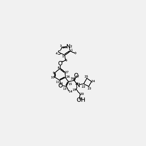 Cc1ncsc1COc1ccc2oc(C)c(C(=O)N(CCO)C3CCC3)c2c1